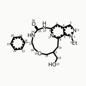 CCn1ncc2cc3nc(c21)CC(CO)COC[C@H](c1ccccc1)NC(=O)N3